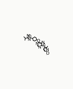 COc1ccc(-n2cnc3c(OC4CCC(c5nc(C(C)C)no5)CC4)ncnc32)c(C)n1